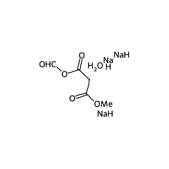 COC(=O)CC(=O)OC=O.O.[NaH].[NaH].[NaH]